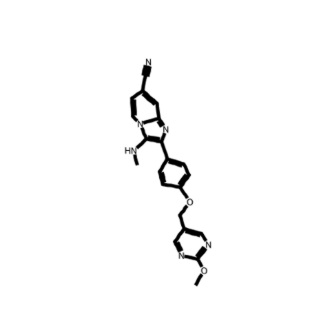 CNc1c(-c2ccc(OCc3cnc(OC)nc3)cc2)nc2cc(C#N)ccn12